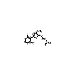 Cc1nc(-c2c(F)cccc2Cl)sc1CCO[N+](=O)[O-]